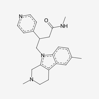 CNC(=O)CC(Cn1c2c(c3cc(C)ccc31)CCN(C)C2)c1ccncc1